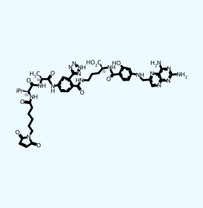 CC(C)[C@H](NC(=O)CCCCCN1C(=O)C=CC1=O)C(=O)N[C@@H](C)C(=O)Nc1ccc(C(=O)NCCC[C@H](NC(=O)c2ccc(NCc3cnc4nc(N)nc(N)c4n3)cc2O)C(=O)O)c(-c2nn[nH]n2)c1